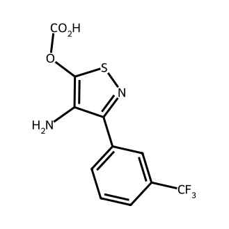 Nc1c(-c2cccc(C(F)(F)F)c2)nsc1OC(=O)O